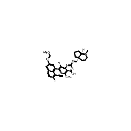 C#Cc1c(F)ccc2cc(OCOC)cc(-c3nc(OC)c4c(O)nc(OC[C@]56CCC[C@H]5N(C)CCC6)nc4c3F)c12